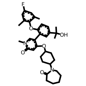 Cc1cc(F)cc(C)c1Oc1ccc(C(C)(C)O)cc1-c1cn(C)c(=O)cc1OC1CCC(N2CCCCCC2=O)CC1